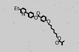 C=C(C)C(=O)OCCCCCCCOc1ccc(C(=O)Oc2ccc(-c3ccc(CC)cn3)cc2)cc1